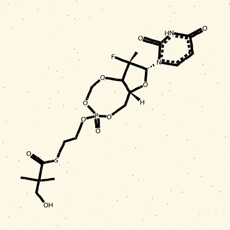 CC(C)(CO)C(=O)SCCOP1(=O)OCOC2[C@@H](CO1)O[C@@H](n1ccc(=O)[nH]c1=O)[C@@]2(C)F